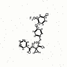 O=C(NC1(C(=O)NCc2ccc(Oc3ccc(Cl)cc3C(F)(F)F)cc2)CC1)c1cncnc1